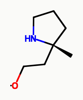 C[C@]1(CC[O])CCCN1